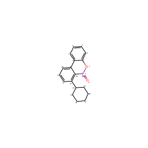 O=[PH]1Oc2ccccc2-c2cccc(C3CCCCC3)c21